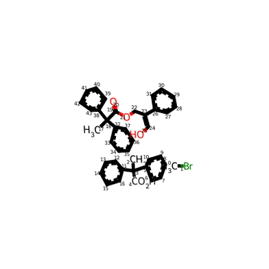 CBr.CC(C(=O)O)(c1ccccc1)c1ccccc1.CC(C(=O)OCC(=CO)c1ccccc1)(c1ccccc1)c1ccccc1